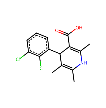 CC1=C(C)C(c2cccc(Cl)c2Cl)C(C(=O)O)=C(C)N1